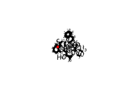 CC(C)(C(=O)N1CCOCC1)S(=O)(=O)C[C@@H](Cc1ccccc1)C(=O)N[C@@H](Cc1cccs1)C(=O)N[C@@H](CC1CCCCC1)[C@@H](O)[C@@H](O)C1CC1